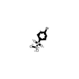 O=S(=O)(c1ccc(Br)cc1)N(Cl)Cl